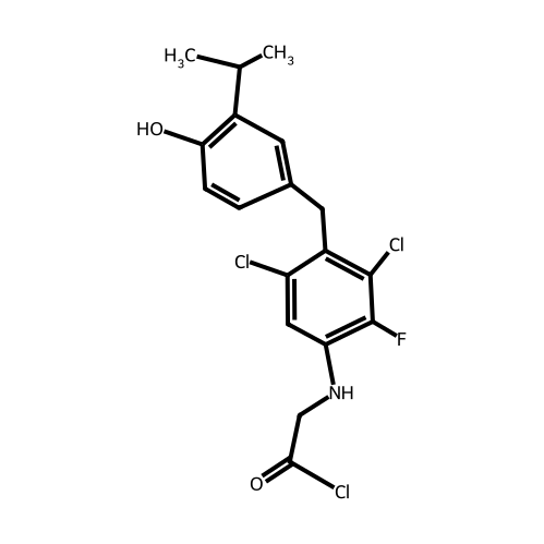 CC(C)c1cc(Cc2c(Cl)cc(NCC(=O)Cl)c(F)c2Cl)ccc1O